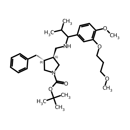 COCCCOc1cc(C(NC[C@H]2CN(C(=O)OC(C)(C)C)C[C@@H]2Cc2ccccc2)C(C)C)ccc1OC